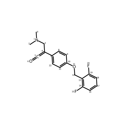 CN(C)CC(=C=O)c1ccc(OCc2c(F)cccc2F)cc1